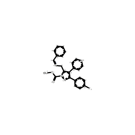 CC(C)(C)OC(=O)n1nc(-c2ccc(F)cc2)c(-c2ccncc2)c1C/N=C\c1ccccc1